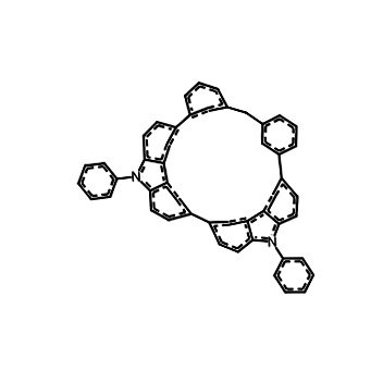 c1ccc(-n2c3ccc4cc3c3cc(ccc32)-c2ccc3c(c2)c2cc(ccc2n3-c2ccccc2)-c2cccc(c2)Cc2cccc-4c2)cc1